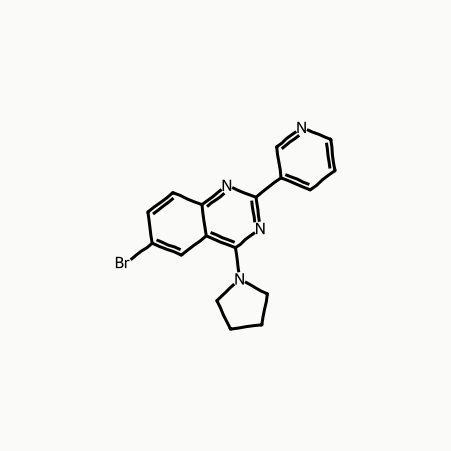 Brc1ccc2nc(-c3cccnc3)nc(N3CCCC3)c2c1